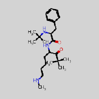 CNCCCCC(NC(=O)C(Cc1ccccc1)NC(C)(C)C)C(=O)C(C)(C)C